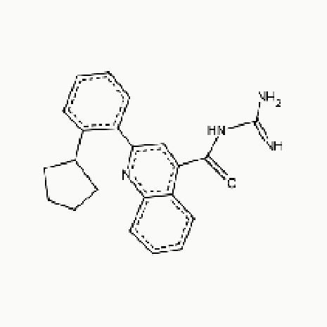 N=C(N)NC(=O)c1cc(-c2ccccc2C2CCCC2)nc2ccccc12